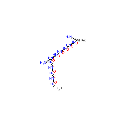 CC(=O)NC(CCCCN)C(=O)NCCC(=O)NCCC(=O)NCCC(=O)NCCC(=O)NCCC(=O)NC(CCCCN)C(=O)NCCC(=O)NCCC(=O)NCCC(=O)NCCC(=O)NCCC(=O)O